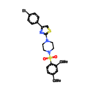 CCc1ccc(-c2csc(N3CCN(S(=O)(=O)c4ccc(OC)cc4OC)CC3)n2)cc1